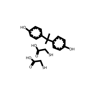 CC(C)(c1ccc(O)cc1)c1ccc(O)cc1.O=C(O)CS.O=C(O)CS